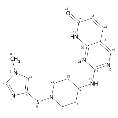 Cn1cnc(SN2CCC(Nc3ncc4ccc(=O)[nH]c4n3)CC2)c1